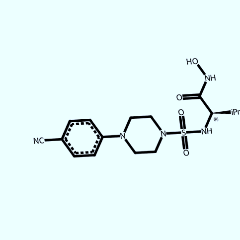 CC(C)[C@@H](NS(=O)(=O)N1CCN(c2ccc(C#N)cc2)CC1)C(=O)NO